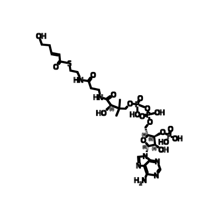 CC(C)(COP(=O)(O)OP(=O)(O)OC[C@H]1O[C@@H](n2cnc3c(N)ncnc32)[C@H](O)[C@@H]1OP(=O)(O)O)[C@@H](O)C(=O)NCCC(=O)NCCSC(=O)C=CCCO